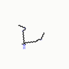 CCCCC/C=C\CC#CCCCCCCCCC1(CCCCCCCC/C=C\C/C=C\CCCCC)CNC1C